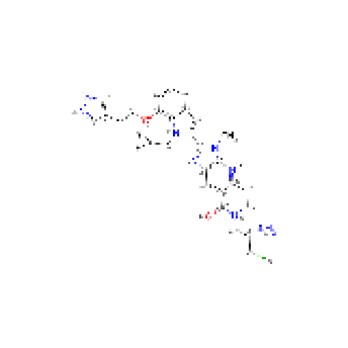 Cn1c(-c2cc3cccc(OCCc4cn[nH]c4)c3n2CC2CC2)nc2cc3c(nc21)CCN(C[C@H](N)CF)C3=O